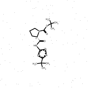 CC(C)(C)OC(=O)N1CCC[C@H]1C(=O)Nc1nnc(C(C)(C)C)s1